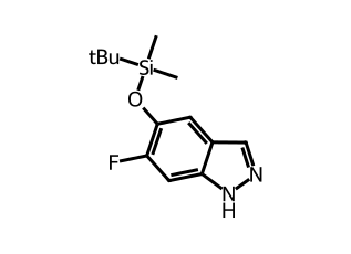 CC(C)(C)[Si](C)(C)Oc1cc2cn[nH]c2cc1F